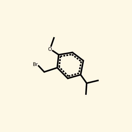 COc1ccc(C(C)C)cc1CBr